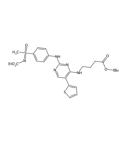 CCOC(=O)N=S(C)(=O)c1ccc(Nc2ncc(-c3cccs3)c(NCCCC(=O)OC(C)(C)C)n2)cc1